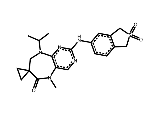 CC(C)N1CC2(CC2)C(=O)N(C)c2cnc(Nc3ccc4c(c3)CS(=O)(=O)C4)nc21